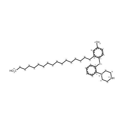 Cc1ccc(Sc2ccccc2N2CCNCC2)c(CCCCCCCCCCCCCCCCC(=O)O)c1